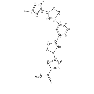 COC(=O)c1coc(C2COC(c3cccc(C4=NC(c5nc(C)co5)CO4)c3)=N2)n1